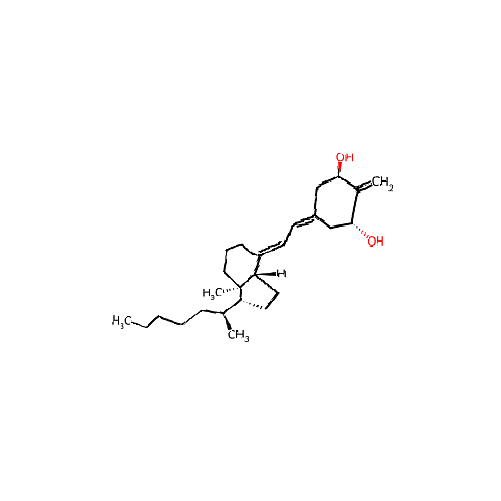 C=C1[C@H](O)CC(=C/C=C2\CCC[C@]3(C)[C@@H]([C@@H](C)CCCCC)CC[C@@H]23)C[C@H]1O